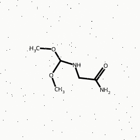 COC(NCC(N)=O)OC